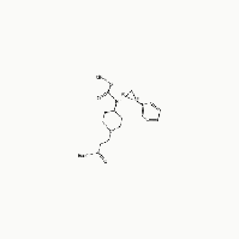 COC(=O)CCN1CCC(N(C(=O)OC(C)(C)C)[C@@H]2C[C@H]2c2ccccc2)CC1